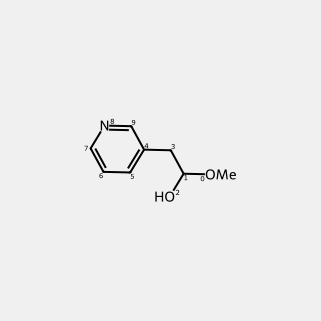 COC(O)Cc1cccnc1